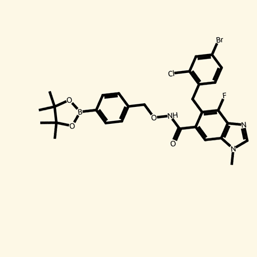 Cn1cnc2c(F)c(Cc3ccc(Br)cc3Cl)c(C(=O)NOCc3ccc(B4OC(C)(C)C(C)(C)O4)cc3)cc21